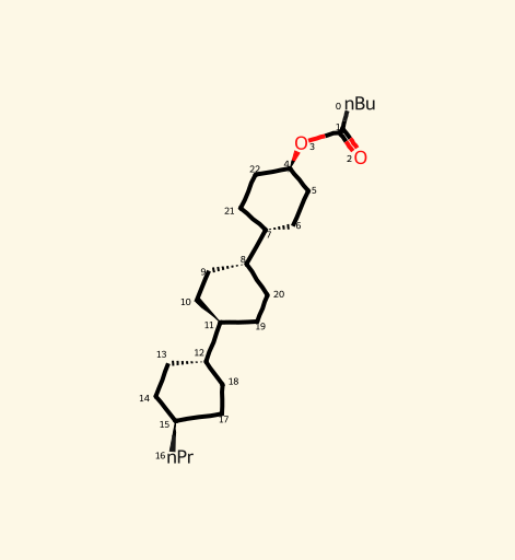 CCCCC(=O)O[C@H]1CC[C@H]([C@H]2CC[C@H]([C@H]3CC[C@H](CCC)CC3)CC2)CC1